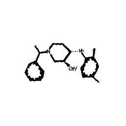 Cc1ccc(N[C@H]2CCN(C(C)c3ccccc3)C[C@@H]2O)c(C)c1